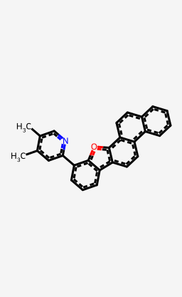 Cc1cnc(-c2cccc3c2oc2c3ccc3c4ccccc4ccc32)cc1C